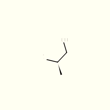 BC[C@@H](C)S